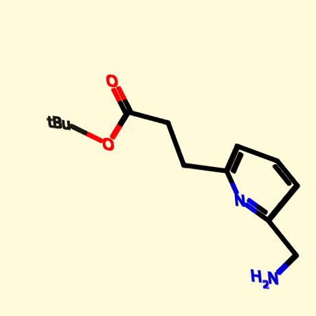 CC(C)(C)OC(=O)CCc1cccc(CN)n1